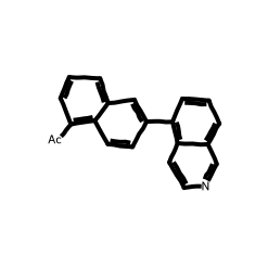 CC(=O)c1cccc2cc(-c3cccc4cnccc34)ccc12